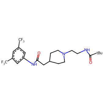 CC(C)(C)C(=O)NCCN1CCC(CC(=O)Nc2cc(C(F)(F)F)cc(C(F)(F)F)c2)CC1